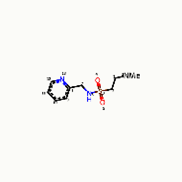 CNCCS(=O)(=O)NCc1ccccn1